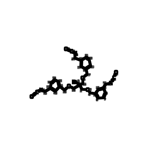 CCC(COCc1cccc(CN=C=O)c1)(COCc1cccc(CN=C=O)c1)COCc1cccc(CN=C=O)c1